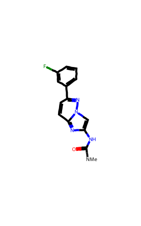 CNC(=O)Nc1cn2nc(-c3cccc(F)c3)ccc2n1